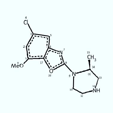 COc1cc(Cl)cc2nc(N3CCNC[C@@H]3C)oc12